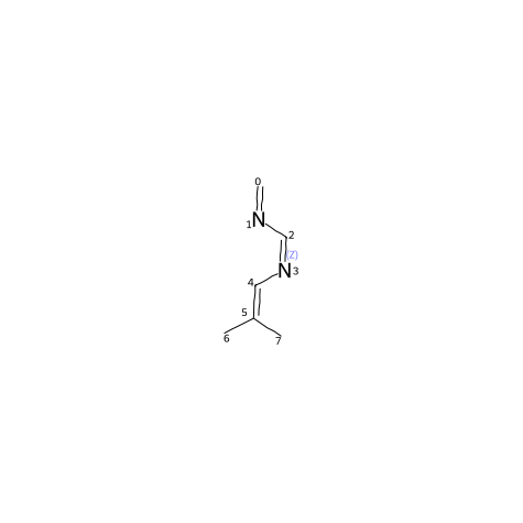 C=N/C=N\C=C(C)C